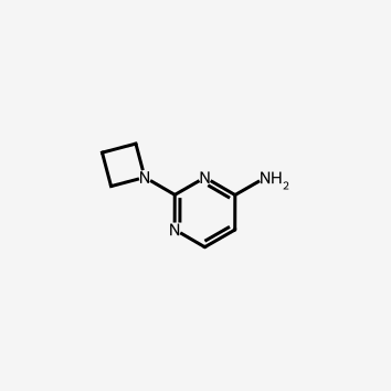 Nc1ccnc(N2CCC2)n1